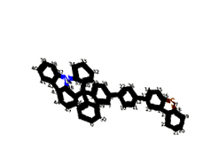 c1ccc(C2(c3ccc(-c4ccc(-c5ccc6sc7ccccc7c6c5)cc4)cc3)c3ccccc3-n3c4ccccc4c4cccc2c43)cc1